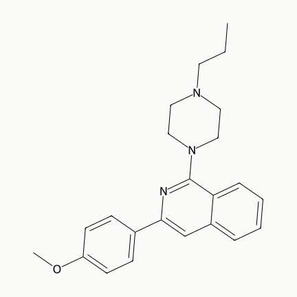 CCCN1CCN(c2nc(-c3ccc(OC)cc3)cc3ccccc23)CC1